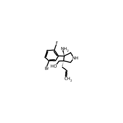 C=CC[C@@]1(CO)CNC[C@@]1(N)c1cc(Br)ccc1F